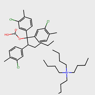 CCCCC(c1ccc(C)c(Cl)c1)C(OB([O-])O)(c1ccc(C)c(Cl)c1)c1ccc(C)c(Cl)c1.CCCC[N+](CCCC)(CCCC)CCCC